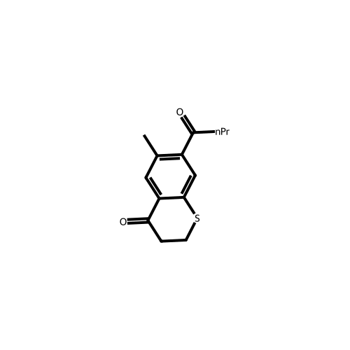 CCCC(=O)c1cc2c(cc1C)C(=O)CCS2